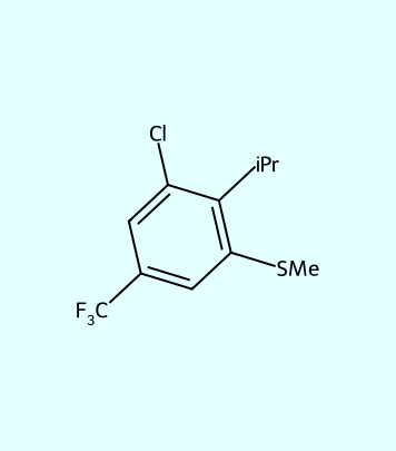 CSc1cc(C(F)(F)F)cc(Cl)c1C(C)C